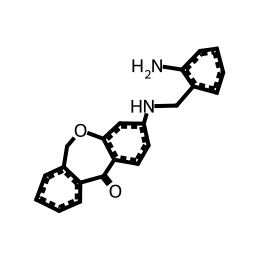 Nc1ccccc1CNc1ccc2c(c1)OCc1ccccc1C2=O